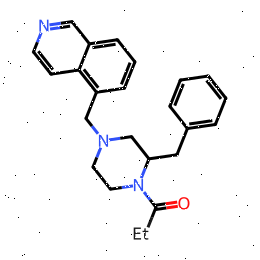 CCC(=O)N1CCN(Cc2cccc3cnccc23)CC1Cc1ccccc1